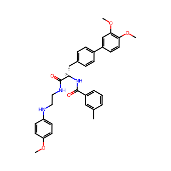 COc1ccc(NCCNC(=O)[C@H](Cc2ccc(-c3ccc(OC)c(OC)c3)cc2)NC(=O)c2cccc(C)c2)cc1